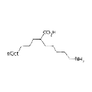 CCCCCCCCCCCC(CCCCCN)C(=O)O